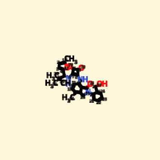 Cc1ccc([C@H](Nc2c(Nc3ccc(C)c4c3C(=O)N(c3ccccc3CO)C4)c(=O)c2=O)C(C)(C)C)o1